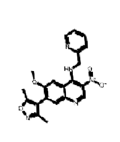 COc1cc2c(NCc3ccccn3)c([N+](=O)[O-])cnc2cc1-c1c(C)noc1C